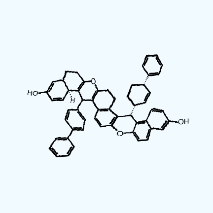 OC1=CC2CCC3=C(C(c4ccc(-c5ccccc5)cc4)C4=C(CCc5c4ccc4c5C([C@H]5C=C[C@@H](c6ccccc6)CC5)c5c(ccc6cc(O)ccc56)O4)O3)[C@H]2C=C1